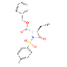 Cc1ccc(S(=O)(=O)N2C(=O)[C@H](CC(C)C)[C@H]2C(=O)OCc2ccccc2)cc1